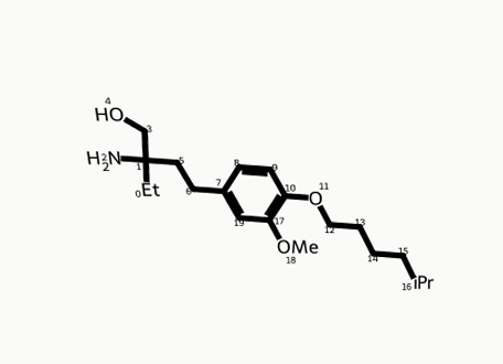 CCC(N)(CO)CCc1ccc(OCCCCC(C)C)c(OC)c1